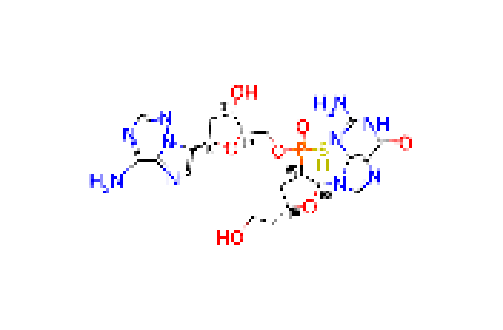 Nc1nc2c(ncn2[C@@H]2O[C@H](CCO)C[C@H]2P(=O)(S)OC[C@H]2O[C@@H](c3cnc4c(N)ncnn34)C[C@@H]2O)c(=O)[nH]1